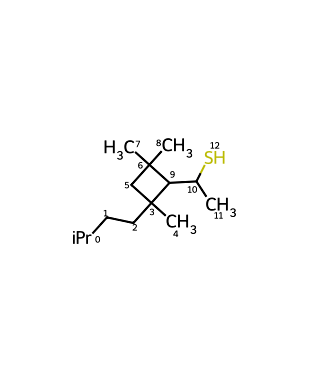 CC(C)CCC1(C)CC(C)(C)C1C(C)S